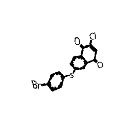 O=C1C=C(Cl)C(=O)c2ccc(Sc3ccc(Br)cc3)cc21